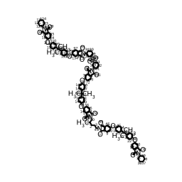 CC(CCCN1C(=O)c2ccc(Oc3ccc(C(C)(C)c4ccc(Oc5ccc6c(c5)C(=O)N(C5CCCCC5)C6=O)cc4)cc3)cc2C1=O)CN1C(=O)c2ccc(Oc3ccc(C(C)(C)c4ccc(Oc5ccc6c(c5)C(=O)N(c5cccc(S(=O)(=O)c7cccc(N8C(=O)c9ccc(Oc%10ccc(C(C)(C)c%11ccc(Oc%12ccc%13c(c%12)C(=O)N(C%12CCCCC%12)C%13=O)cc%11)cc%10)cc9C8=O)c7)c5)C6=O)cc4)cc3)cc2C1=O